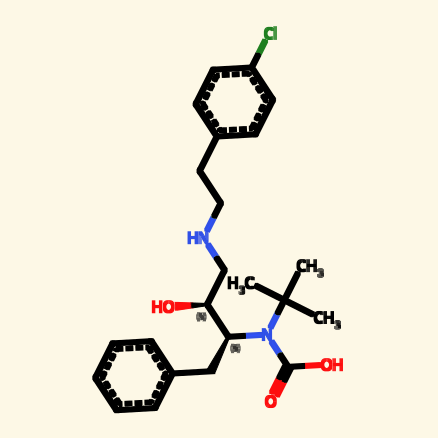 CC(C)(C)N(C(=O)O)[C@@H](Cc1ccccc1)[C@@H](O)CNCCc1ccc(Cl)cc1